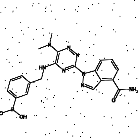 CN(C)c1nnc(-n2ncc3c(C(N)=O)cccc32)nc1NCc1cccc(B(O)O)c1